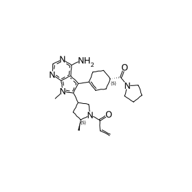 C=CC(=O)N1CC(c2c(C3=CC[C@@H](C(=O)N4CCCC4)CC3)c3c(N)ncnc3n2C)C[C@@H]1C